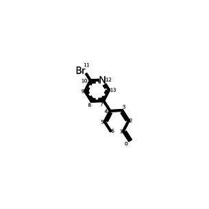 C=C/C=C\C(=C/C)c1ccc(Br)nc1